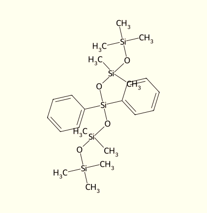 C[Si](C)(C)O[Si](C)(C)O[Si](O[Si](C)(C)O[Si](C)(C)C)(c1ccccc1)c1ccccc1